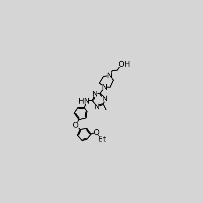 CCOc1cccc(Oc2ccc(Nc3nc(C)nc(N4CCN(CCO)CC4)n3)cc2)c1